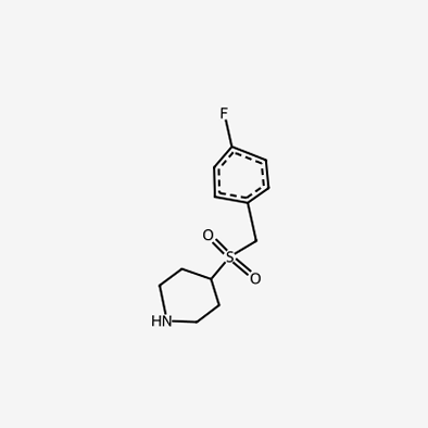 O=S(=O)(Cc1ccc(F)cc1)C1CCNCC1